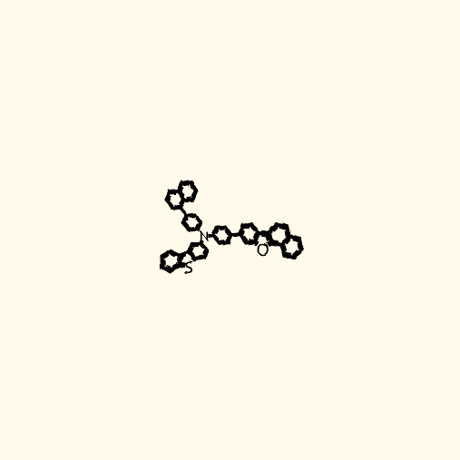 c1ccc2c(-c3ccc(N(c4ccc(-c5ccc6c(c5)oc5c7ccccc7ccc65)cc4)c4ccc5sc6ccccc6c5c4)cc3)cccc2c1